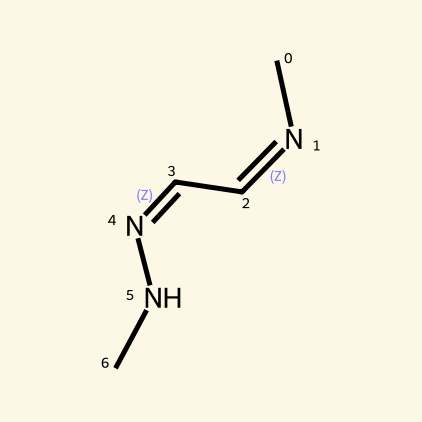 C/N=C\C=N/NC